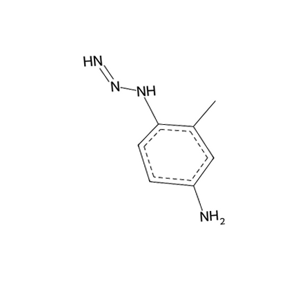 Cc1cc(N)ccc1NN=N